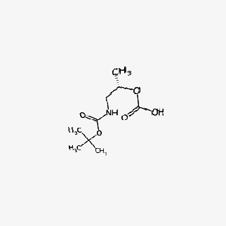 C[C@@H](CNC(=O)OC(C)(C)C)OC(=O)O